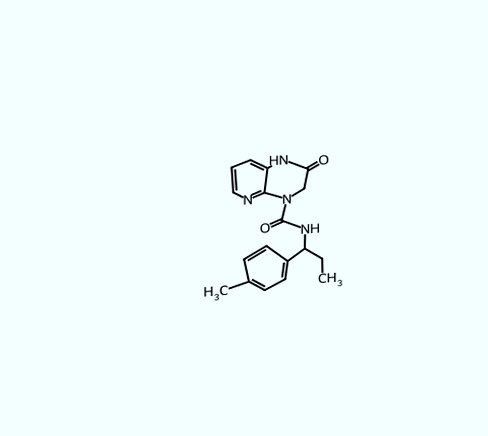 CCC(NC(=O)N1CC(=O)Nc2cccnc21)c1ccc(C)cc1